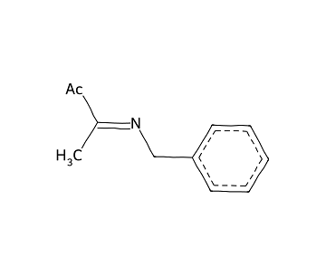 CC(=O)/C(C)=N/Cc1ccccc1